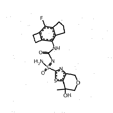 CC1(O)COCc2nc(S(N)(=O)=NC(=O)Nc3c4c(c(F)c5c3CC5)CCC4)sc21